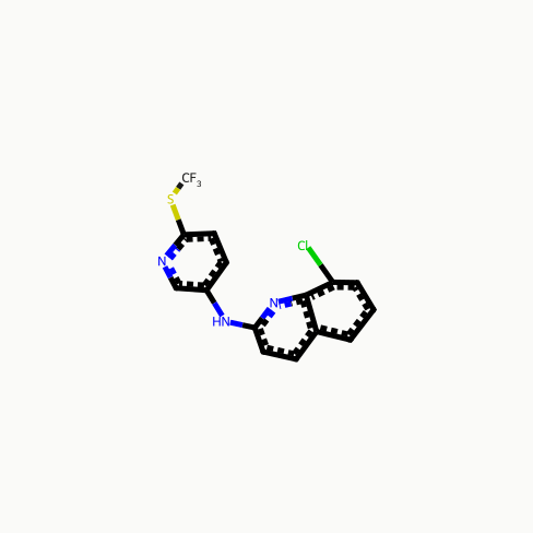 FC(F)(F)Sc1ccc(Nc2ccc3cccc(Cl)c3n2)cn1